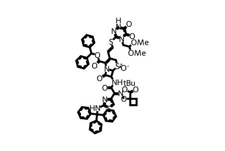 COC(Cn1c(SC=CC2=C(C(=O)OC(c3ccccc3)c3ccccc3)N3C(=O)C(NC(=O)C(=NOC4(C(=O)OC(C)(C)C)CCC4)c4csc(NC(c5ccccc5)(c5ccccc5)c5ccccc5)n4)C3[S+]([O-])C2)n[nH]c(=O)c1=O)OC